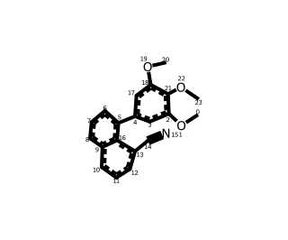 COc1cc(-c2cccc3cccc(C#N)c23)cc(OC)c1OC